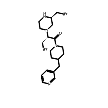 CC(C)C[C@H]1CN([C@@H](CC(C)C)C(=O)N2CCC(Cc3cccnc3)CC2)CCN1